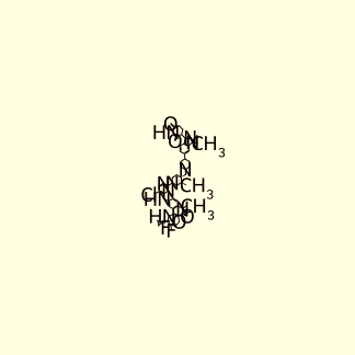 C[C@H]1CN(c2ncc(Cl)c(Nc3ccc4c(c3)c3c(c(=O)n4C)OCC(F)(F)C(C4CC4)N3)n2)CC[C@H]1CN1CCC(c2ccc3c(C4CCC(=O)NC4=O)nn(C)c3c2)CC1